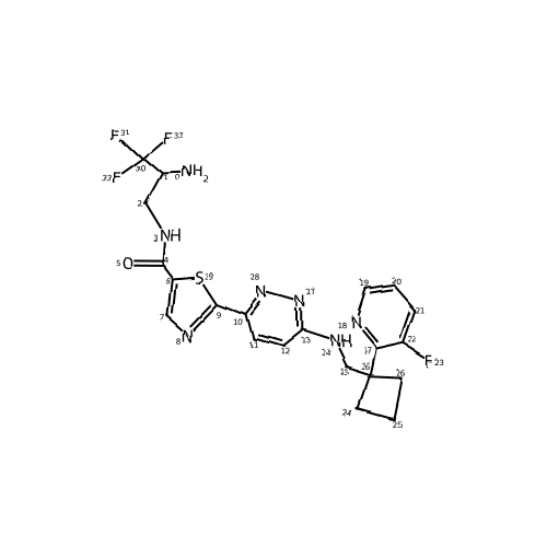 NC(CNC(=O)c1cnc(-c2ccc(NCC3(c4ncccc4F)CCC3)nn2)s1)C(F)(F)F